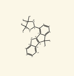 CC1(C)c2cccc(B3OC(C)(C)C(C)(C)O3)c2-c2sc3ccccc3c21